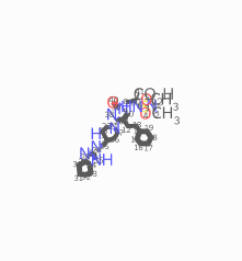 CN(C)S(=O)(=O)N[C@@H](Cn1cc(CCc2ccccc2)c(N2CCC(CNc3nc4ccccc4[nH]3)CC2)nc1=O)C(=O)O